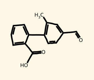 Cc1cc(C=O)ccc1-c1ccccc1C(=O)O